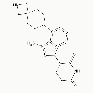 Cn1nc(C2CCC(=O)NC2=O)c2cccc(C3CCC4(CC3)CNC4)c21